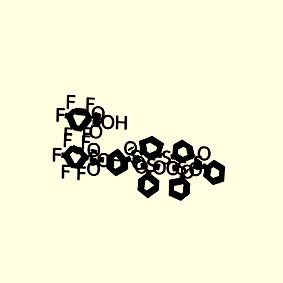 O=S(=O)(O)c1c(F)c(F)c(F)c(F)c1F.O=S(=O)(O)c1c(F)c(F)c(F)c(F)c1F.O=S(=O)(c1ccccc1)c1cccc(Sc2cccc(S(=O)(=O)c3ccccc3)c2S(=O)(=O)c2ccccc2)c1S(=O)(=O)c1ccccc1